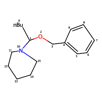 CCCCC(OCc1ccccc1)N1CCCCC1